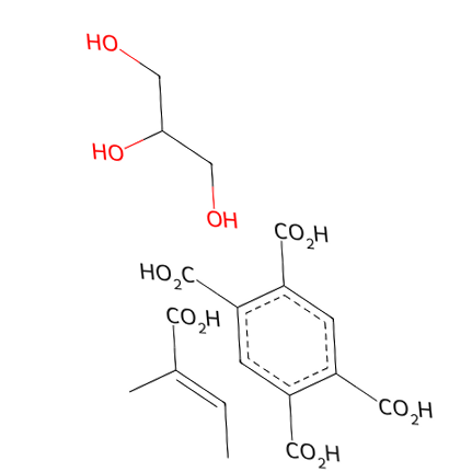 CC=C(C)C(=O)O.O=C(O)c1cc(C(=O)O)c(C(=O)O)cc1C(=O)O.OCC(O)CO